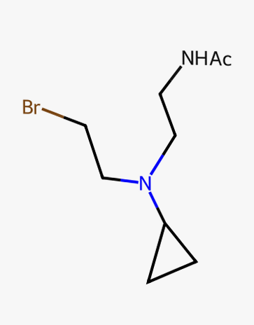 CC(=O)NCCN(CCBr)C1CC1